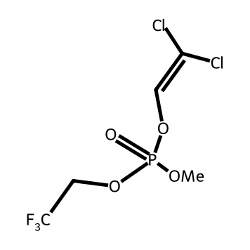 COP(=O)(OC=C(Cl)Cl)OCC(F)(F)F